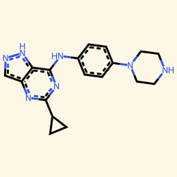 c1cc(N2CCNCC2)ccc1Nc1nc(C2CC2)nc2cn[nH]c12